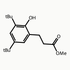 COC(=O)CCc1cc(C(C)(C)C)cc(C(C)(C)C)c1O